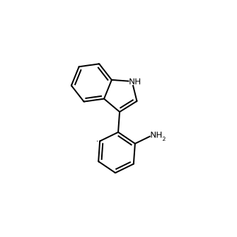 Nc1ccc[c]c1-c1c[nH]c2ccccc12